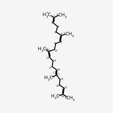 CC(C)=CCCC(C)=CCCC(C)=C[CH]C/C=C(\C)CCC=C(C)C